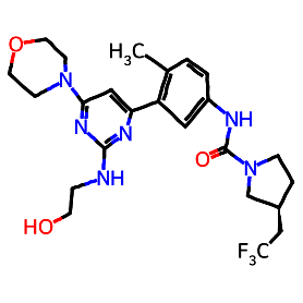 Cc1ccc(NC(=O)N2CC[C@@H](CC(F)(F)F)C2)cc1-c1cc(N2CCOCC2)nc(NCCO)n1